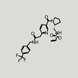 C=CS(=O)(=O)NC[C@H]1CCCN1C(=O)c1ccc(CC(=O)NCc2ccc(C(F)(F)F)cc2)nc1